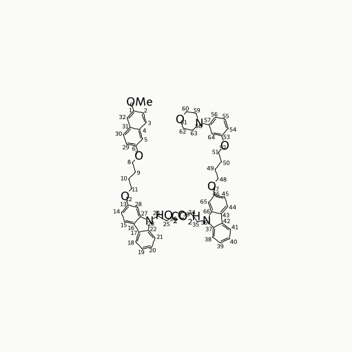 COc1ccc2cc(OCCCCOc3ccc4c5ccccc5n(CCC(=O)O)c4c3)ccc2c1.O=C(O)CCn1c2ccccc2c2ccc(OCCCCOc3cccc(N4CCOCC4)c3)cc21